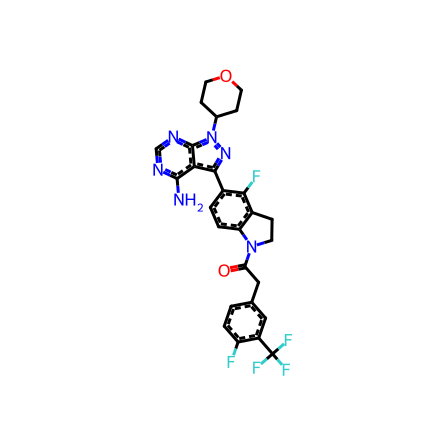 Nc1ncnc2c1c(-c1ccc3c(c1F)CCN3C(=O)Cc1ccc(F)c(C(F)(F)F)c1)nn2C1CCOCC1